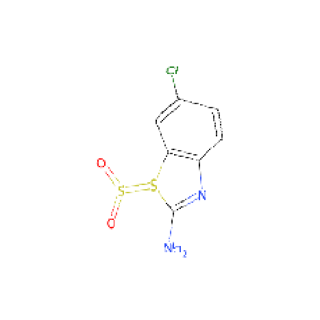 NC1=Nc2ccc(Cl)cc2S1=S(=O)=O